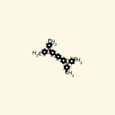 Cc1ccc(N(c2ccc(C)cc2)c2ccc(-c3ccc(-c4ccc(N(c5ccc(C)cc5)c5ccc(C)cc5)cc4)cc3)cc2)cc1